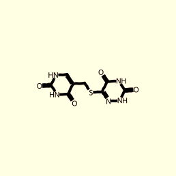 O=c1[nH]cc(CSc2n[nH]c(=O)[nH]c2=O)c(=O)[nH]1